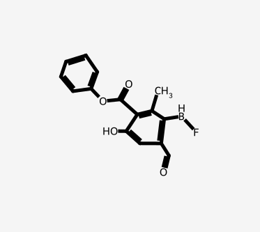 Cc1c(BF)c(C=O)cc(O)c1C(=O)Oc1ccccc1